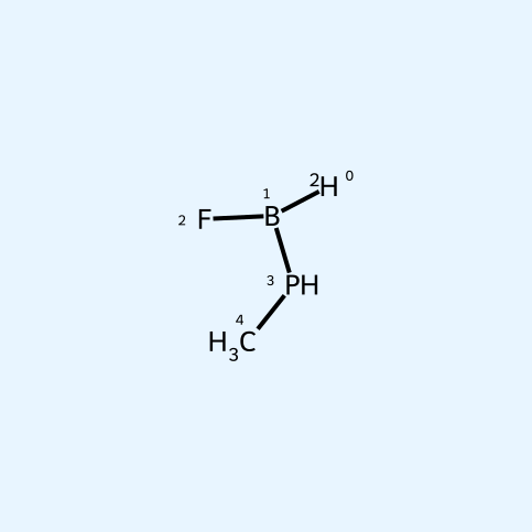 [2H]B(F)PC